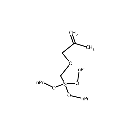 C=C(C)COC[Si](OCCC)(OCCC)OCCC